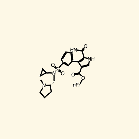 CCCOC(=O)c1c[nH]c2c(=O)[nH]c3ccc(S(=O)(=O)N(C[C@@H]4CCCN4C)C4CC4)cc3c12